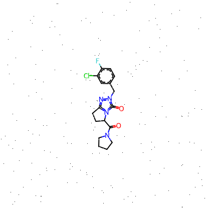 O=C(C1CCc2nn(Cc3ccc(F)c(Cl)c3)c(=O)n21)N1CCCC1